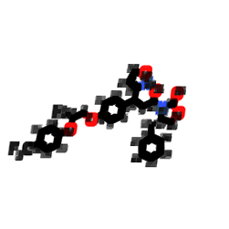 CC[C@@H](COc1ccc(C(CC(=O)N2C(=O)OC[C@@H]2Cc2ccccc2)c2ccon2)cc1)Oc1ccc(C(F)(F)F)cc1